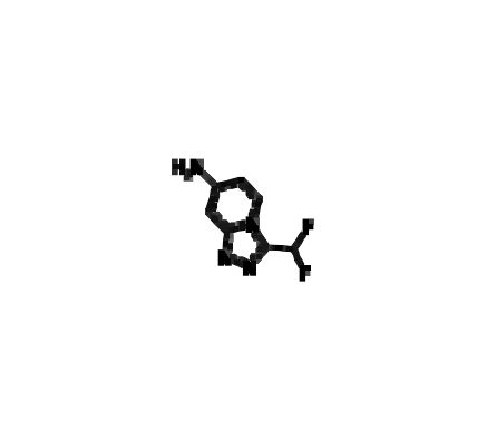 Nc1ccn2c(C(F)F)nnc2c1